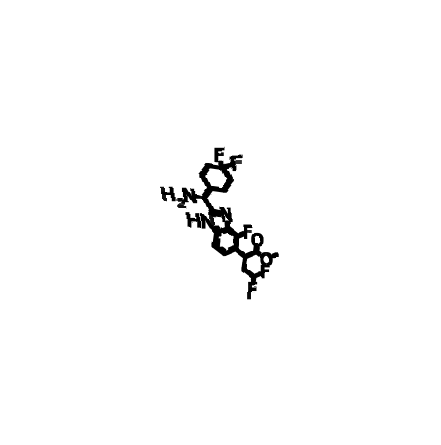 COC(=O)C(CC(F)F)c1ccc2[nH]c([C@@H](N)C3CCC(F)(F)CC3)nc2c1F